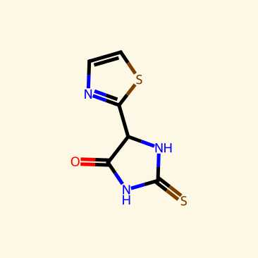 O=C1NC(=S)NC1c1nccs1